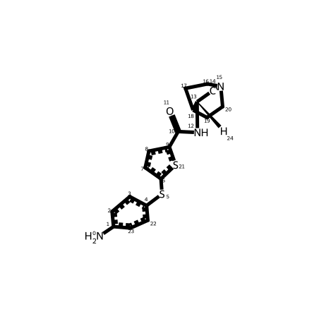 Nc1ccc(Sc2ccc(C(=O)N[C@H]3CN4CCC3CC4)s2)cc1